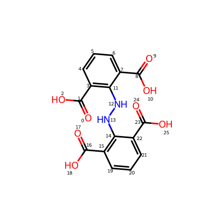 O=C(O)c1cccc(C(=O)O)c1NNc1c(C(=O)O)cccc1C(=O)O